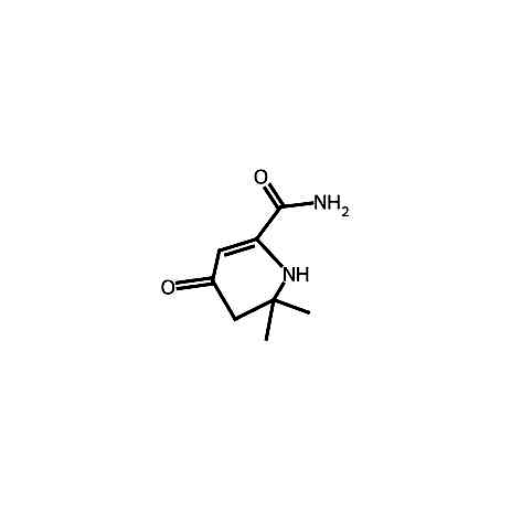 CC1(C)CC(=O)C=C(C(N)=O)N1